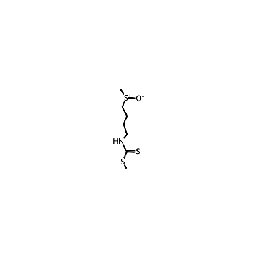 CSC(=S)NCCCC[S+](C)[O-]